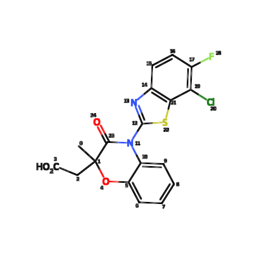 CC1(CC(=O)O)Oc2ccccc2N(c2nc3ccc(F)c(Cl)c3s2)C1=O